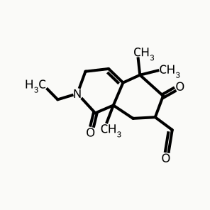 CCN1CC=C2C(C)(C)C(=O)C(C=O)CC2(C)C1=O